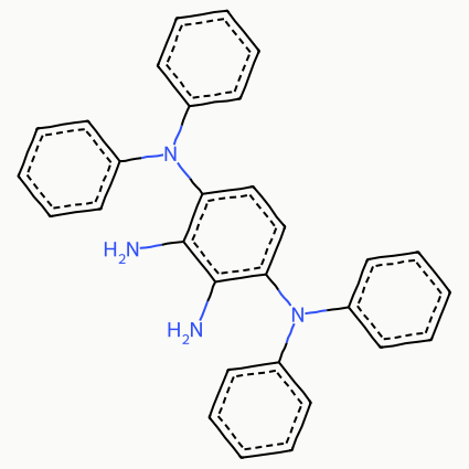 Nc1c(N(c2ccccc2)c2ccccc2)ccc(N(c2ccccc2)c2ccccc2)c1N